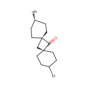 CCC[C@H]1CC[C@]2(CC1)C[C@@]1(CCC(CC)CC1)C2=O